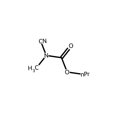 CCCOC(=O)N(C)C#N